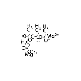 CCC(=O)[O-].CCC(=O)[O-].CCC(=O)[O-].CCC(=O)[O-].[Mg+2].[Mg+2]